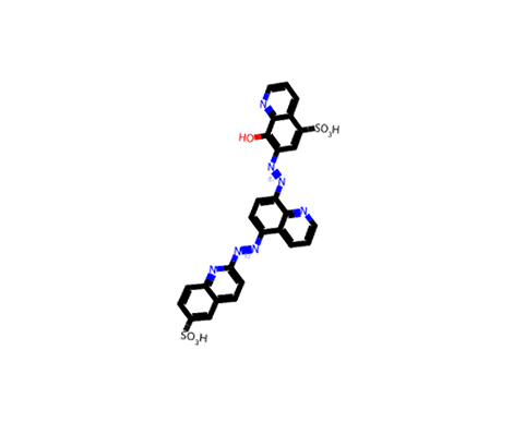 O=S(=O)(O)c1ccc2nc(/N=N/c3ccc(/N=N/c4cc(S(=O)(=O)O)c5cccnc5c4O)c4ncccc34)ccc2c1